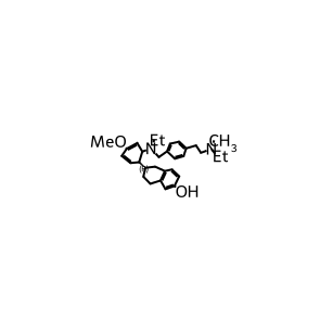 CCN(C)CCc1ccc(CN(CC)C2C=C(OC)C=CC2[C@@H]2CCc3cc(O)ccc3C2)cc1